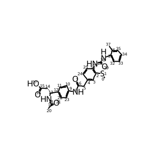 CSc1cc(CC(=O)Nc2ccc([C@@H](CC(=O)O)NC(C)=O)cc2)ccc1NC(=O)Nc1ccccc1C